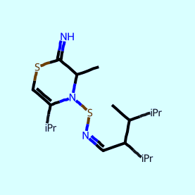 CC(C)C1=CSC(=N)C(C)N1S/N=C\C(C(C)C)C(C)C(C)C